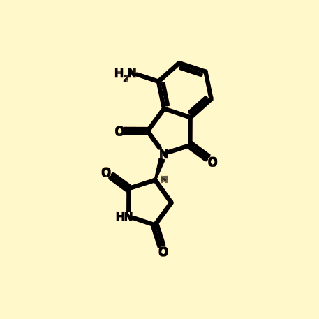 Nc1cccc2c1C(=O)N([C@H]1CC(=O)NC1=O)C2=O